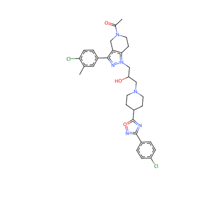 CC(=O)N1CCc2c(c(-c3ccc(Cl)c(C)c3)nn2CC(O)CN2CCC(c3nc(-c4ccc(Cl)cc4)no3)CC2)C1